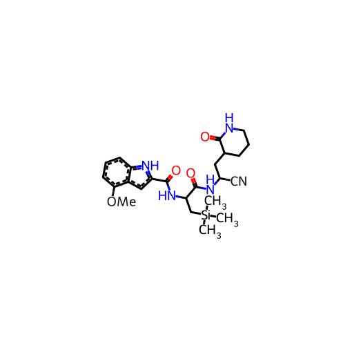 COc1cccc2[nH]c(C(=O)NC(C[Si](C)(C)C)C(=O)NC(C#N)CC3CCCNC3=O)cc12